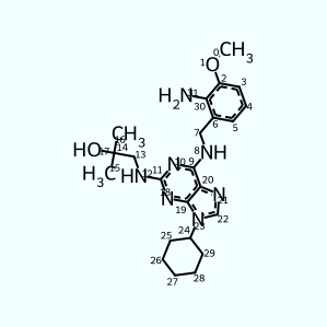 COc1cccc(CNc2nc(NCC(C)(C)O)nc3c2ncn3C2CCCCC2)c1N